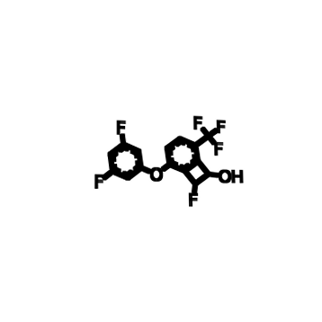 OC1c2c(C(F)(F)F)ccc(Oc3cc(F)cc(F)c3)c2C1F